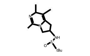 CC1=NC(C)C(C)=C2CC(N[S+]([O-])C(C)(C)C)CN12